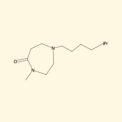 CC(C)CCCCN1CCC(=O)N(C)CC1